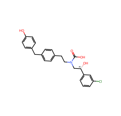 O=C(O)N(CCc1ccc(Cc2ccc(O)cc2)cc1)C[C@H](O)c1cccc(Cl)c1